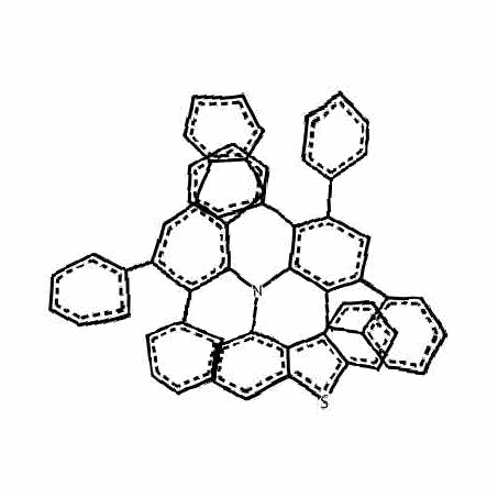 c1ccc(-c2cc3c(c(N(c4c5c(cc(-c6ccccc6)c4-c4ccccc4)-c4ccccc4C5)c4cccc5sc6ccccc6c45)c2-c2ccccc2)Cc2ccccc2-3)cc1